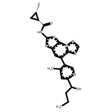 CCCC(O)c1cc(C)c(-c2cc3nc(NC(=O)[C@@H]4C[C@@H]4F)sc3n3ncnc23)cn1